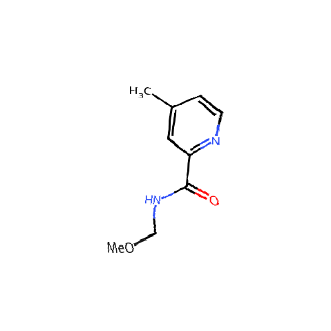 COCNC(=O)c1cc(C)ccn1